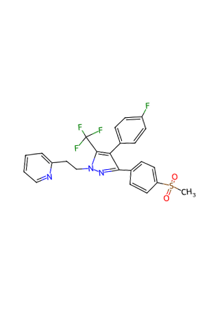 CS(=O)(=O)c1ccc(-c2nn(CCc3ccccn3)c(C(F)(F)F)c2-c2ccc(F)cc2)cc1